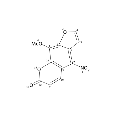 COc1c2occc2c([N+](=O)[O-])c2ccc(=O)oc12